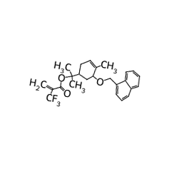 C=C(C(=O)OC(C)(C)C1CC=C(C)C(OCc2cccc3ccccc23)C1)C(F)(F)F